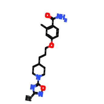 CCc1noc(N2CCC(CCCOc3ccc(C(N)=O)c(C)c3)CC2)n1